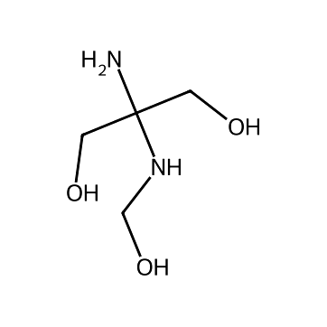 NC(CO)(CO)NCO